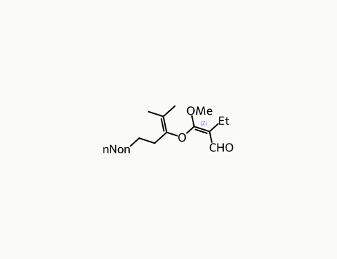 CCCCCCCCCCCC(O/C(OC)=C(\C=O)CC)=C(C)C